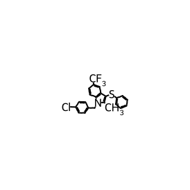 Cc1c(Sc2ccccc2)c2cc(C(F)(F)F)ccc2n1Cc1ccc(Cl)cc1